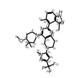 CO[C@H]1CCN(c2nc(-c3c(C)ccc4[nH]nc(C)c34)nc3c2CN(c2cc(C(F)(F)F)nn2C)CC3)CC1(C)C